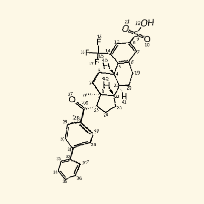 C[C@]12CC[C@@H]3c4c(cc(S(=O)(=O)O)cc4C(F)(F)F)CC[C@H]3[C@@H]1CC[C@@H]2C(=O)c1ccc(-c2ccccc2)cc1